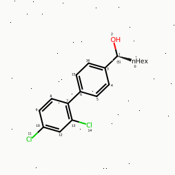 CCCCCC[C@H](O)c1ccc(-c2ccc(Cl)cc2Cl)cc1